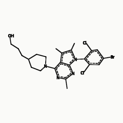 Cc1nc(N2CCC(CCCO)CC2)c2c(C)c(C)n(-c3c(Cl)cc(Br)cc3Cl)c2n1